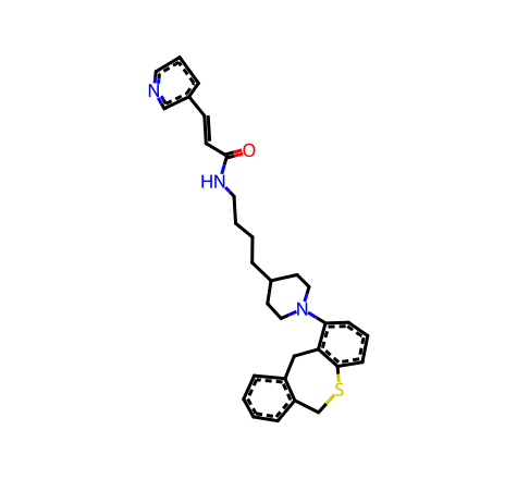 O=C(C=Cc1cccnc1)NCCCCC1CCN(c2cccc3c2Cc2ccccc2CS3)CC1